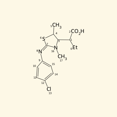 CCC(C(=O)O)C1C(C)SC(=Nc2ccc(Cl)cc2)N1C